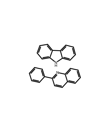 c1ccc(-c2ccc3ccccc3n2)cc1.c1ccc2c(c1)[nH]c1ccccc12